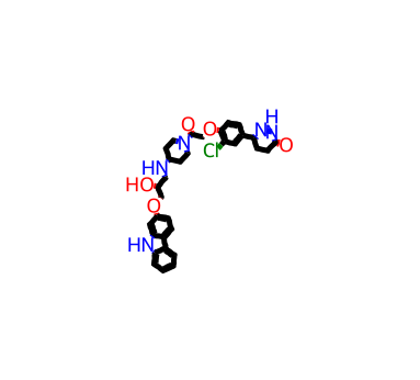 O=C1CCC(c2ccc(OCC(=O)N3CCC(NCC(O)COc4ccc5c(c4)[nH]c4ccccc45)CC3)c(Cl)c2)=NN1